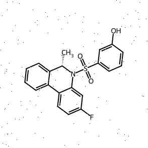 C[C@H]1c2ccccc2-c2ccc(F)cc2N1S(=O)(=O)c1cccc(O)c1